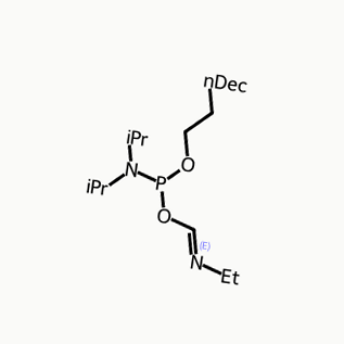 CCCCCCCCCCCCOP(O/C=N/CC)N(C(C)C)C(C)C